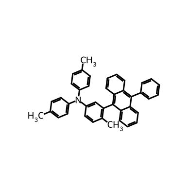 Cc1ccc(N(c2ccc(C)cc2)c2ccc(C)c(-c3c4ccccc4c(-c4ccccc4)c4ccccc34)c2)cc1